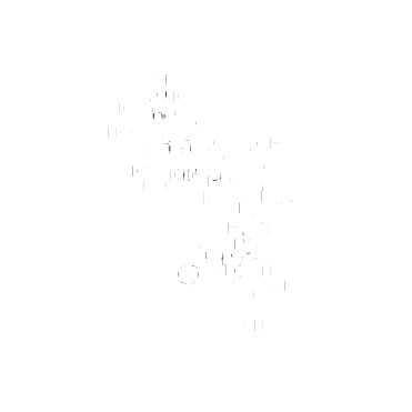 C[C@@H]1CC[C@@]2(OC1)O[C@H]1[C@@H](OOC(=O)c3ccccc3)[C@H]3[C@@H]4CC[C@H]5C[C@@H](O[C@@H]6O[C@H](CO)[C@H](O[C@@H]7O[C@H](CO)C(O)[C@H](O[C@@H]8OC[C@@H](O)[C@H](O)[C@H]8O)[C@H]7O[C@@H]7O[C@H](CO)[C@H](O)[C@H](O[C@@H]8O[C@H](CO)[C@@H](O)[C@H](O)[C@H]8O)[C@H]7O)[C@H](O)[C@H]6O)[C@H](O)C[C@]5(C)[C@H]4CC[C@]3(C)[C@H]1[C@@H]2C